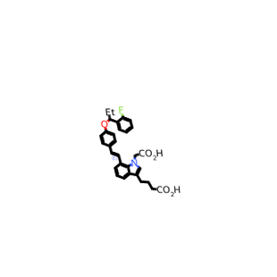 CCC(Oc1ccc(/C=C/c2cccc3c(CCCC(=O)O)cn(CC(=O)O)c23)cc1)c1ccccc1F